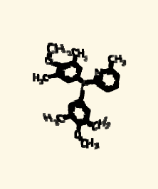 COc1c(C)cc(P(c2cc(C)c(OC)c(C)c2)c2cccc(C)n2)cc1C